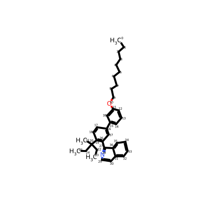 CCCCCCCCCCOc1cccc(-c2ccc(C(C)(CC)CC)c(-c3nccc4ccccc34)c2)c1